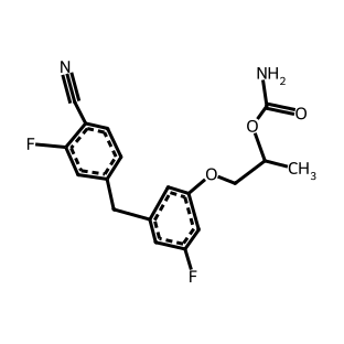 CC(COc1cc(F)cc(Cc2ccc(C#N)c(F)c2)c1)OC(N)=O